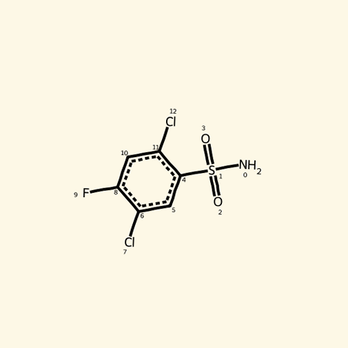 NS(=O)(=O)c1cc(Cl)c(F)cc1Cl